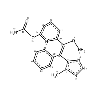 Cn1nnnc1/C(=C(\ON)c1cccc(OC(N)=O)n1)c1ccccc1